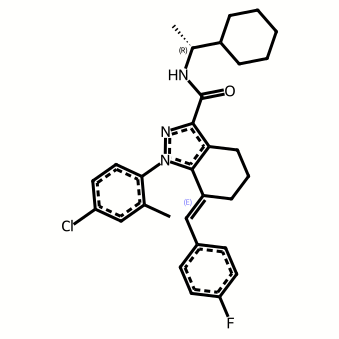 Cc1cc(Cl)ccc1-n1nc(C(=O)N[C@H](C)C2CCCCC2)c2c1/C(=C/c1ccc(F)cc1)CCC2